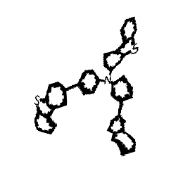 c1cc(-c2ccc3ccccc3c2)cc(N(c2ccc(-c3ccc4sc5ccccc5c4c3)cc2)c2ccc3c(c2)sc2ccccc23)c1